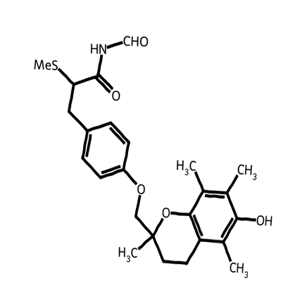 CSC(Cc1ccc(OCC2(C)CCc3c(C)c(O)c(C)c(C)c3O2)cc1)C(=O)NC=O